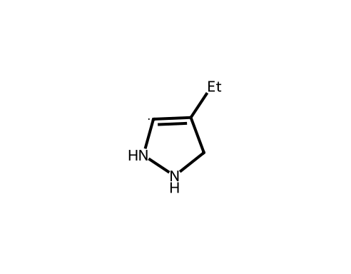 CCC1=[C]NNC1